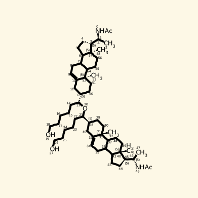 CC(=O)N[C@@H](C)[C@H]1CCC2C3CC=C4C[C@@H](C(CCCCCO)OC(CCCCCO)[C@H]5CC[C@@]6(C)C(=CCC7C6CC[C@@]6(C)C7CC[C@@H]6[C@H](C)NC(C)=O)C5)CC[C@]4(C)C3CC[C@@]21C